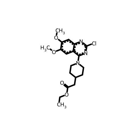 CCOC(=O)CC1CCN(c2nc(Cl)nc3cc(OC)c(OC)cc23)CC1